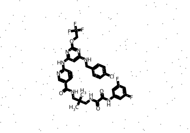 CC(C)(CNC(=O)C(=O)Nc1cc(F)cc(F)c1)CNC(=O)c1c#cc(Nc2cc(NCc3ccc(Cl)cc3)nc(OCC(F)(F)F)n2)nc1